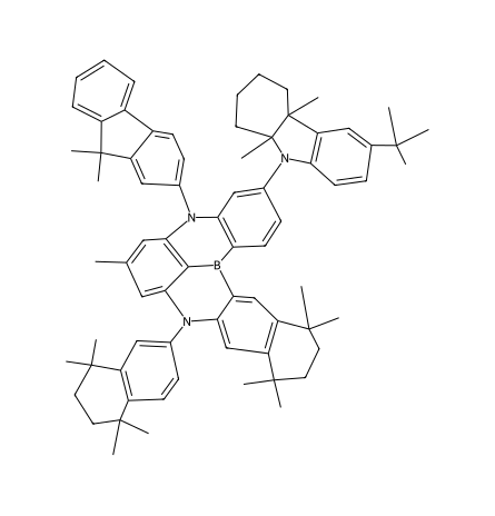 Cc1cc2c3c(c1)N(c1ccc4c(c1)C(C)(C)CCC4(C)C)c1cc4c(cc1B3c1ccc(N3c5ccc(C(C)(C)C)cc5C5(C)CCCCC35C)cc1N2c1ccc2c(c1)C(C)(C)c1ccccc1-2)C(C)(C)CCC4(C)C